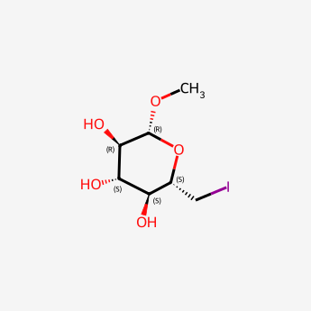 CO[C@@H]1O[C@H](CI)[C@@H](O)[C@H](O)[C@H]1O